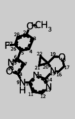 COc1ccc(-c2cc(Nc3ccnc(N4CCOCC45CC5)n3)on2)c(F)c1